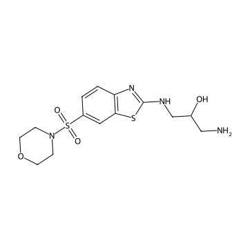 NCC(O)CNc1nc2ccc(S(=O)(=O)N3CCOCC3)cc2s1